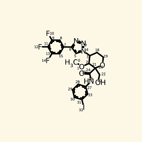 COC1C(n2cc(-c3cc(F)c(F)c(F)c3)nn2)CCOC1(CO)C(=O)Nc1cccc(I)c1